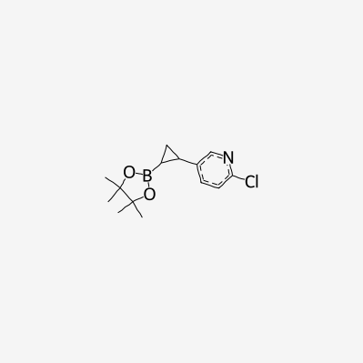 CC1(C)OB(C2CC2c2ccc(Cl)nc2)OC1(C)C